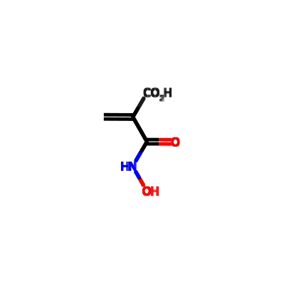 C=C(C(=O)O)C(=O)NO